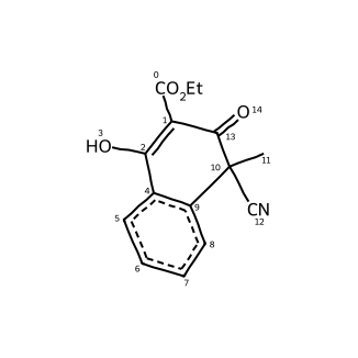 CCOC(=O)C1=C(O)c2ccccc2C(C)(C#N)C1=O